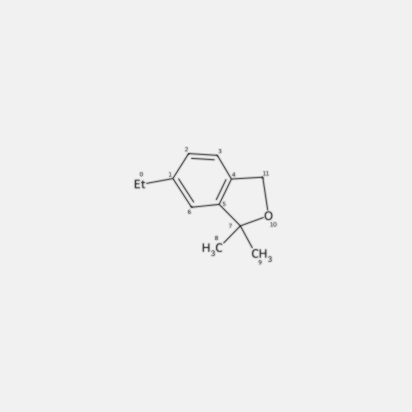 CCc1ccc2c(c1)C(C)(C)OC2